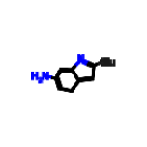 CC(C)(C)C1=NC2=CC(N)=CCC2=C1